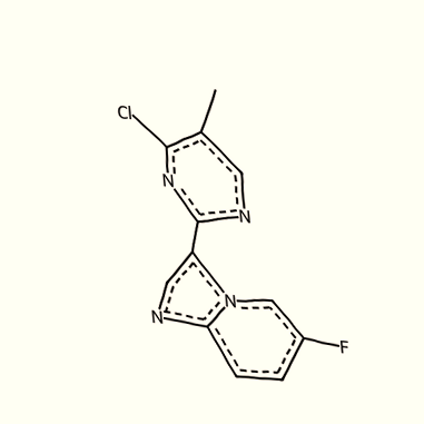 Cc1cnc(-c2cnc3ccc(F)cn23)nc1Cl